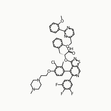 COc1ccccc1-c1nccc(COc2ccccc2C[C@@H](Oc2nsc3cnc(-c4cc(F)c(F)c(F)c4)c(-c4ccc(OCCN5CCN(C)CC5)c(Cl)c4C)c23)C(=O)O)n1